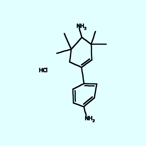 CC1(C)C=C(c2ccc(N)cc2)CC(C)(C)C1N.Cl